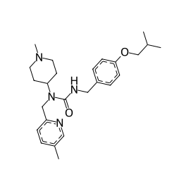 Cc1ccc(CN(C(=O)NCc2ccc(OCC(C)C)cc2)C2CCN(C)CC2)nc1